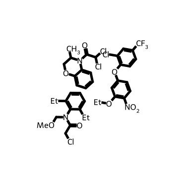 CC1COc2ccccc2N1C(=O)C(Cl)Cl.CCOc1cc(Oc2ccc(C(F)(F)F)cc2Cl)ccc1[N+](=O)[O-].CCc1cccc(CC)c1N(COC)C(=O)CCl